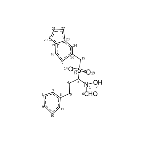 O=CN(O)C(CCc1ccccc1)S(=O)(=O)Cc1ccc2sccc2c1